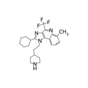 Cc1cccc2c1nc(C(F)(F)F)c1nc(C3CCCCC3)n(CCC3CCNCC3)c12